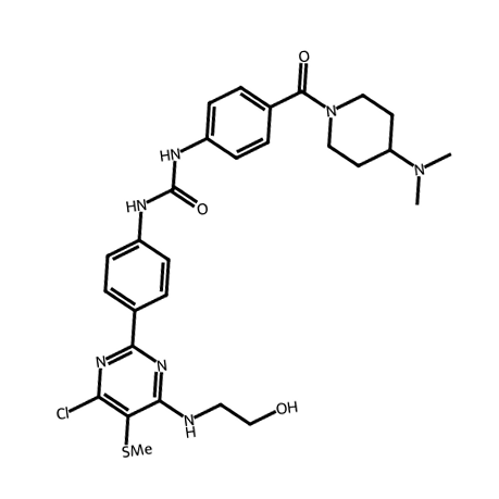 CSc1c(Cl)nc(-c2ccc(NC(=O)Nc3ccc(C(=O)N4CCC(N(C)C)CC4)cc3)cc2)nc1NCCO